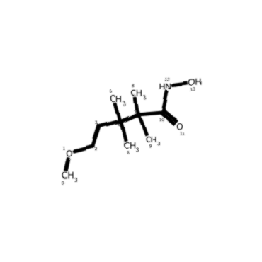 COCCC(C)(C)C(C)(C)C(=O)NO